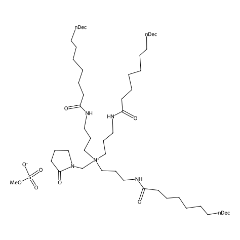 CCCCCCCCCCCCCCCCC(=O)NCCC[N+](CCCNC(=O)CCCCCCCCCCCCCCCC)(CCCNC(=O)CCCCCCCCCCCCCCCC)CN1CCCC1=O.COS(=O)(=O)[O-]